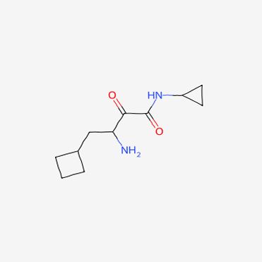 NC(CC1CCC1)C(=O)C(=O)NC1CC1